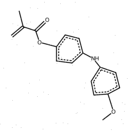 C=C(C)C(=O)Oc1ccc(Nc2ccc(OC)cc2)cc1